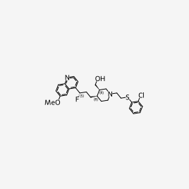 COc1ccc2nccc([C@@H](F)CC[C@@H]3CCN(CCSc4ccccc4Cl)C[C@@H]3CO)c2c1